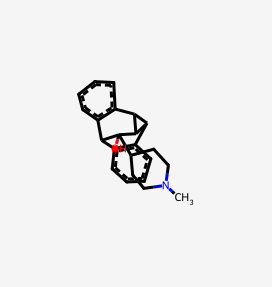 CN1CCC(C2(O)C3c4ccccc4C4C(c5ccccc53)C42)CC1